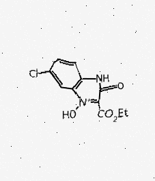 CCOC(=O)c1c(=O)[nH]c2ccc(Cl)cc2[n+]1O